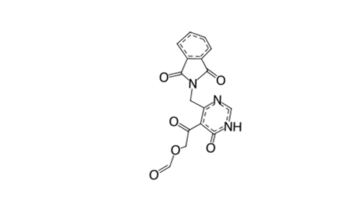 O=COCC(=O)c1c(CN2C(=O)c3ccccc3C2=O)nc[nH]c1=O